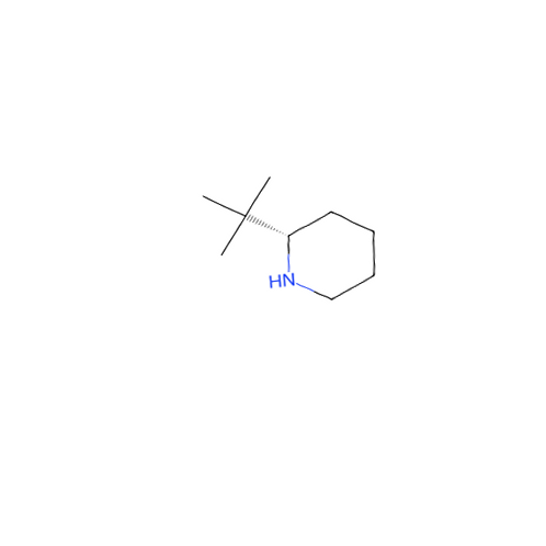 CC(C)(C)[C@@H]1CCCCN1